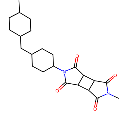 CC1CCC(CC2CCC(N3C(=O)C4C5C(=O)N(C)C(=O)C5C4C3=O)CC2)CC1